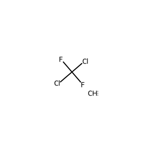 FC(F)(Cl)Cl.[CH]